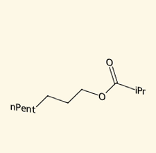 CCCCCCCCOC(=O)C(C)C